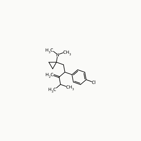 C=C(C(C)C)C(CC1(N(C)C)CC1)c1ccc(Cl)cc1